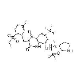 CCS(=O)(=O)c1ccc(Cl)cc1Cn1c(=O)[nH]c2c(Cl)c(C[C@@H](NS(C)(=O)=O)C3CCNC3)c(C(F)(F)F)cc2c1=O